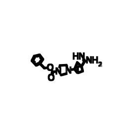 N=C(N)C12CC(C1)C(N1CCN(C(=O)OCc3ccccc3)CC1)C2